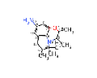 CC(O)C(C)N1c2ccc(N)cc2CC(C)C1(C)C